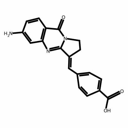 Nc1ccc2c(=O)n3c(nc2c1)C(=Cc1ccc(C(=O)O)cc1)CC3